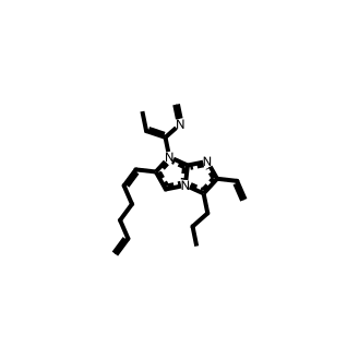 C=CCC/C=C\c1cn2c(CCC)c(C=C)nc2n1/C(=C/C)N=C